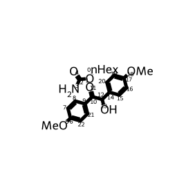 CCCCCCOC(N)=O.COc1ccc(C(=O)C(O)c2ccc(OC)cc2)cc1